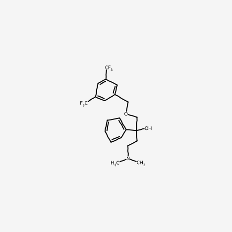 CN(C)CCC(O)(COCc1cc(C(F)(F)F)cc(C(F)(F)F)c1)c1ccccc1